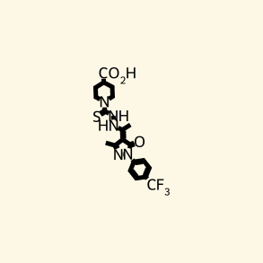 CC1=NN(c2ccc(C(F)(F)F)cc2)C(=O)C1=C(C)NNC(=S)N1CCC(C(=O)O)CC1